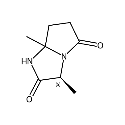 C[C@H]1C(=O)NC2(C)CCC(=O)N12